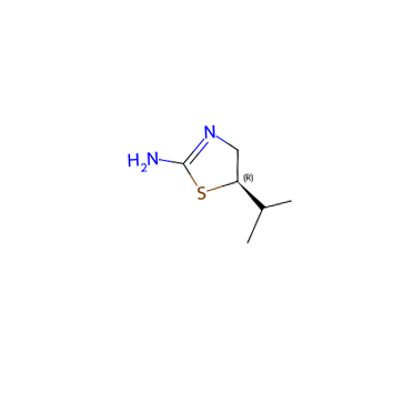 CC(C)[C@@H]1CN=C(N)S1